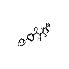 O=C(Nc1nc(Br)cs1)c1ccc(N2CCOCC2)cc1